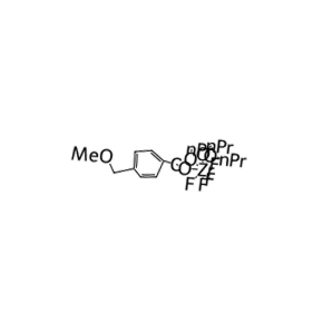 CCC[O][Zr]([F])([F])([F])([F])([O]CCC)([O]CCC)[O]Cc1ccc(COC)cc1